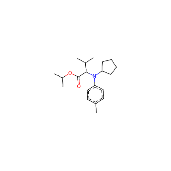 Cc1ccc(N(C2CCCC2)C(C(=O)OC(C)C)C(C)C)cc1